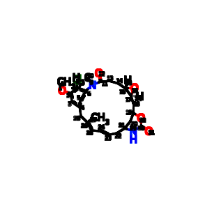 COc1cc2cc(c1Cl)N(C)C(=O)CC[C@@H]1O[C@H]1CC1CC(C/C=C/C=C(\C)C2)NC(=O)O1